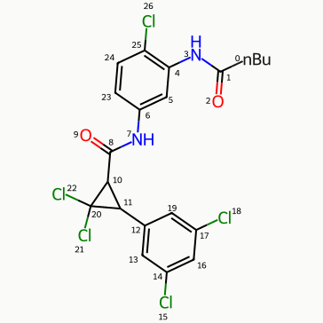 CCCCC(=O)Nc1cc(NC(=O)C2C(c3cc(Cl)cc(Cl)c3)C2(Cl)Cl)ccc1Cl